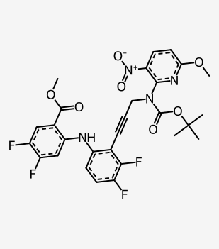 COC(=O)c1cc(F)c(F)cc1Nc1ccc(F)c(F)c1C#CCN(C(=O)OC(C)(C)C)c1nc(OC)ccc1[N+](=O)[O-]